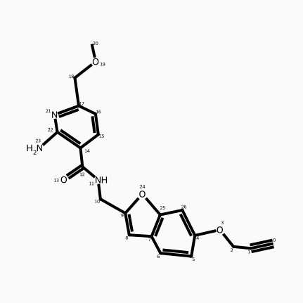 C#CCOc1ccc2cc(CNC(=O)c3ccc(COC)nc3N)oc2c1